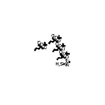 CCCC1(C=O)COC(C)(C)O1.CCCC1(C=O)COC(C)(C)O1.CCCC1(C=O)COC(C)(C)O1.CCCC1(C=O)COC(C)(C)O1.C[SiH](C)O[SiH3]